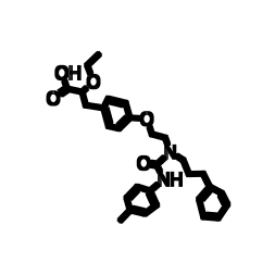 CCOC(Cc1ccc(OCCN(CCCc2ccccc2)C(=O)Nc2ccc(C)cc2)cc1)C(=O)O